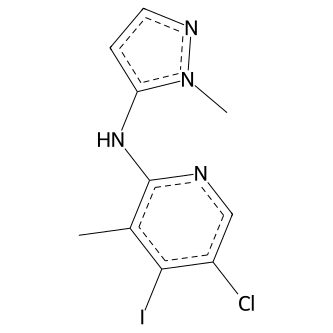 Cc1c(Nc2ccnn2C)ncc(Cl)c1I